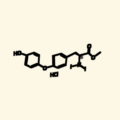 COC(=O)[C@H](Cc1ccc(Oc2ccc(O)cc2)cc1)N(I)I.Cl